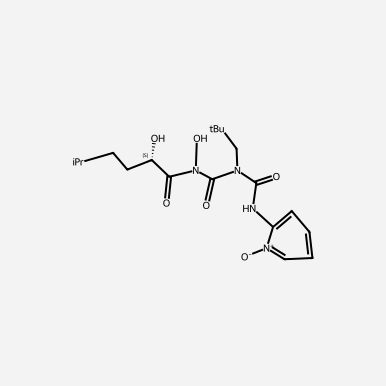 CC(C)CC[C@H](O)C(=O)N(O)C(=O)N(CC(C)(C)C)C(=O)Nc1cccc[n+]1[O-]